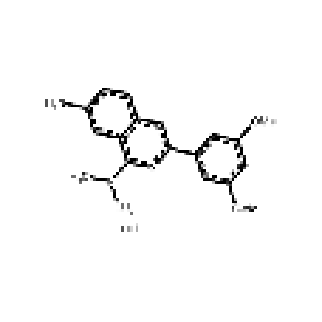 COc1cc(OC)cc(-c2cc3ccc(N)cc3c(N(C)C)n2)c1.Cl